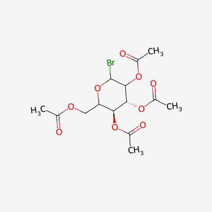 CC(=O)OCC1OC(Br)C(OC(C)=O)[C@H](OC(C)=O)[C@H]1OC(C)=O